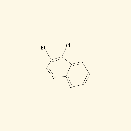 CCc1cnc2ccccc2c1Cl